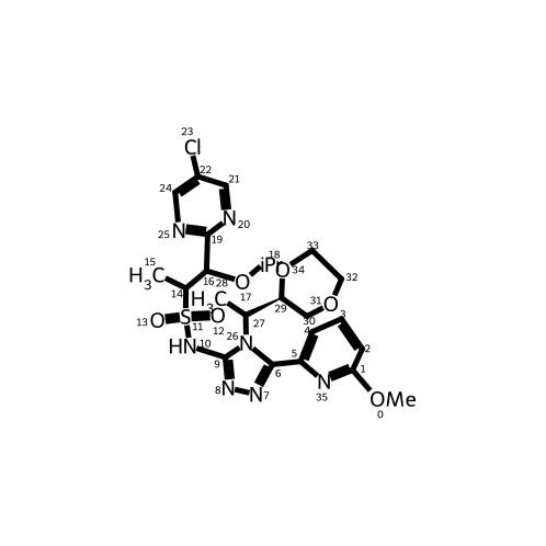 COc1cccc(-c2nnc(NS(=O)(=O)C(C)C(OC(C)C)c3ncc(Cl)cn3)n2C(C)[C@@H]2COCCO2)n1